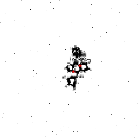 O=C(Nc1cc(F)c(F)c(F)c1)c1ccc(Cl)c(S(=O)(=O)[C@H]2CC3CC(C2)[C@]3(O)CNC(=O)c2ncco2)c1